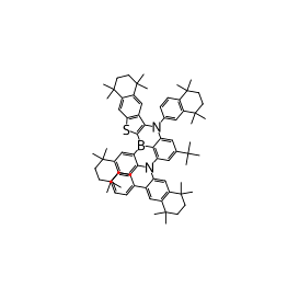 CC(C)(C)c1cc2c3c(c1)N(c1ccc4c(c1)C(C)(C)CCC4(C)C)c1c(sc4cc5c(cc14)C(C)(C)CCC5(C)C)B3c1cc3c(cc1N2c1cc2c(cc1-c1ccccc1)C(C)(C)CCC2(C)C)C(C)(C)CCC3(C)C